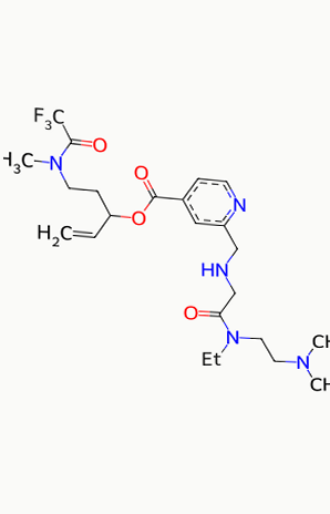 C=CC(CCN(C)C(=O)C(F)(F)F)OC(=O)c1ccnc(CNCC(=O)N(CC)CCN(C)C)c1